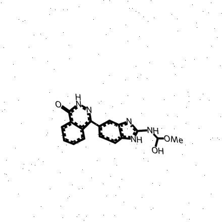 COC(O)Nc1nc2cc(-c3n[nH]c(=O)c4ccccc34)ccc2[nH]1